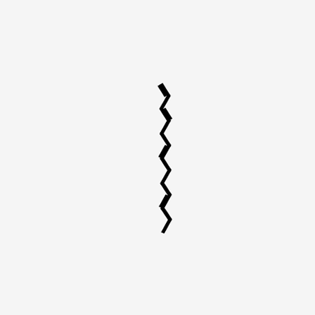 C=CC=CCC=CCCC=CCC